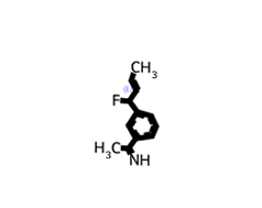 C/C=C/C(F)c1cccc(C(C)=N)c1